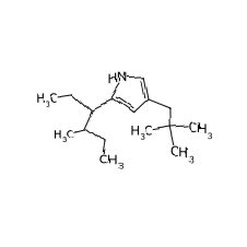 CCC(C)C(CC)c1cc(CC(C)(C)C)c[nH]1